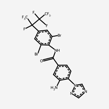 Nc1cc(C(=O)Nc2c(Br)cc(C(F)(C(F)(F)F)C(F)(F)C(F)(F)F)cc2Br)ccc1-n1cncn1